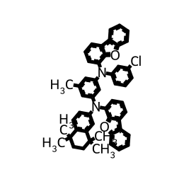 Cc1cc(N(c2cccc(Cl)c2)c2cccc3c2oc2ccccc23)cc(N(c2ccc3c(c2)C(C)(C)CCC3(C)C)c2cccc3c2oc2ccccc23)c1